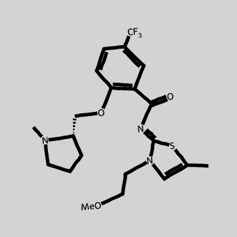 COCCn1cc(C)sc1=NC(=O)c1cc(C(F)(F)F)ccc1OC[C@@H]1CCCN1C